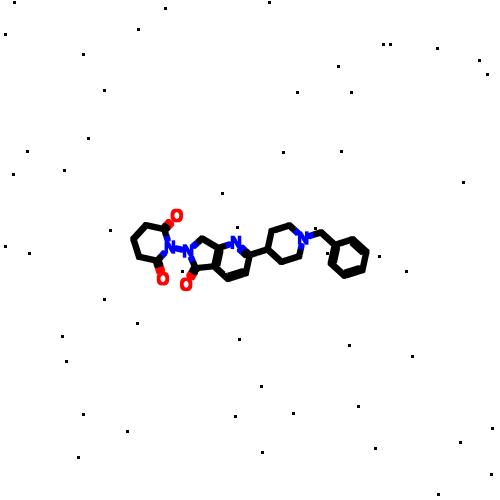 O=C1c2ccc(C3CCN(Cc4ccccc4)CC3)nc2CN1N1C(=O)CCCC1=O